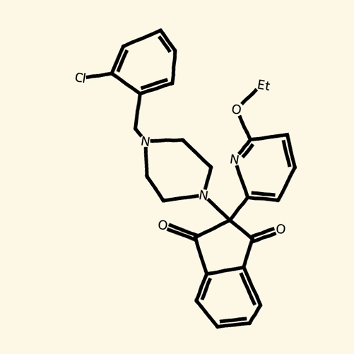 CCOc1cccc(C2(N3CCN(Cc4ccccc4Cl)CC3)C(=O)c3ccccc3C2=O)n1